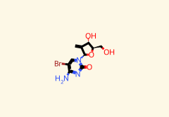 C=C1[C@H](n2cc(Br)c(N)nc2=O)O[C@H](CO)[C@H]1O